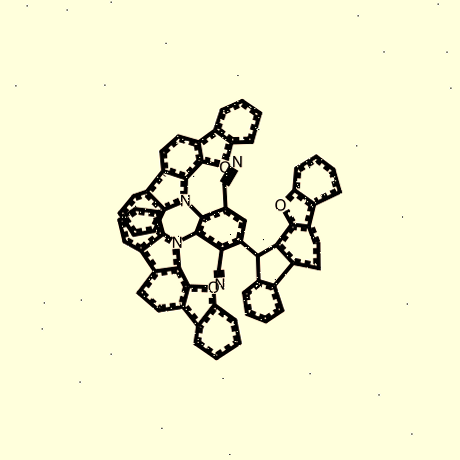 N#Cc1cc(C2c3ccccc3-c3ccc4c(oc5ccccc54)c32)c(C#N)c(-n2c3ccccc3c3ccc4c5ccccc5oc4c32)c1-n1c2ccccc2c2ccc3c4ccccc4oc3c21